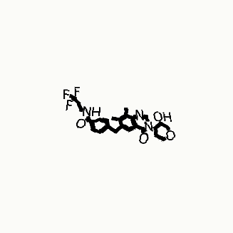 Cc1c(Cc2ccc(C(=O)NCCC(F)(F)F)cc2)cc2c(=O)n([C@H]3CCOC[C@@H]3O)cnc2c1C